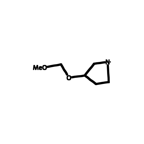 COCOC1CC[N]C1